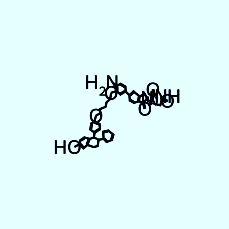 Nc1ccc(-c2ccc3c(c2)CN([C@H]2CCC(=O)NC2=O)C3=O)cc1OCCCCCOc1ccc(C2c3ccc(O)cc3CCC2c2ccccc2)cc1